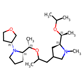 CC(C)O[C@@H](C)[C@@H]1CC(CC(C)O[C@@H](C)[C@@H]2CCCN2[C@@H]2CCOC2)CN1C